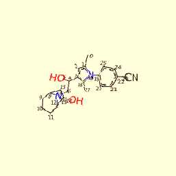 Cc1cc(C(O)CN2C3CCCC2[C@@H](O)C3)c(C)n1-c1ccc(C#N)cc1